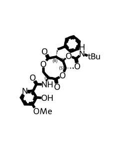 COc1ccnc(C(=O)N[C@H]2COC(=O)[C@H](Cc3ccccc3)[C@@H](OC(=O)NC(C)(C)C)[C@H](C)OC2=O)c1O